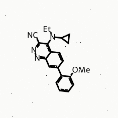 CCN(c1c(C#N)nnc2cc(-c3ccccc3OC)ccc12)C1CC1